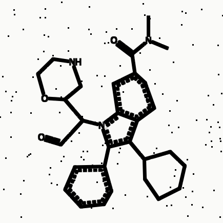 CN(C)C(=O)c1ccc2c(C3CCCCC3)c(-c3ccccc3)n(C(C=O)C3CNCCO3)c2c1